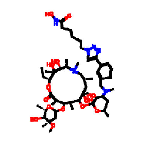 CC[C@H]1OC(=O)[C@H](C)[C@@H](O[C@H]2C[C@@](C)(OC)[C@@H](O)[C@H](C)O2)[C@H](C)[C@@H](O[C@@H]2O[C@H](C)C[C@H](N(C)Cc3cccc(-c4cn(CCCCCC(=O)NO)nn4)c3)[C@H]2O)[C@](C)(O)C[C@@H](C)CN(C)[C@H](C)[C@@H](O)[C@]1(C)O